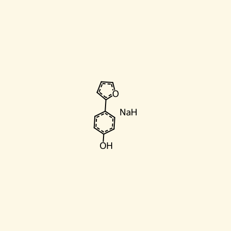 Oc1ccc(-c2ccco2)cc1.[NaH]